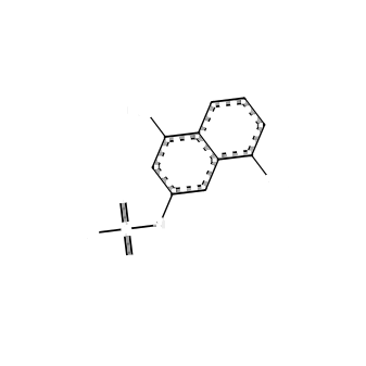 Cc1cc(NS(C)(=O)=O)cc2c(C)cccc12